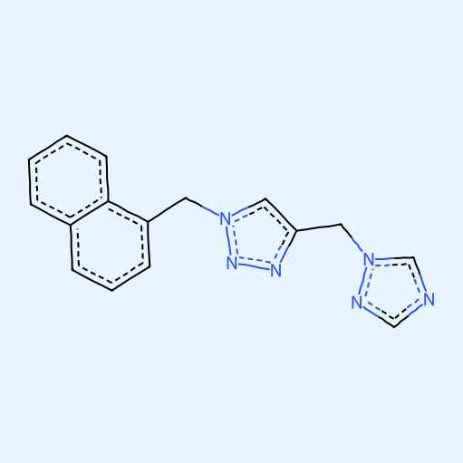 c1ccc2c(Cn3cc(Cn4cncn4)nn3)cccc2c1